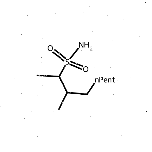 CCCCCCC(C)C(C)S(N)(=O)=O